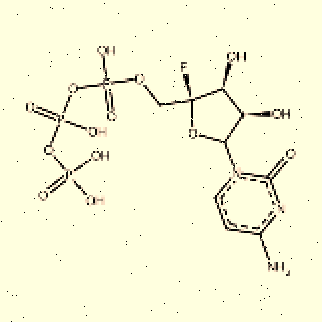 Nc1ccn(C2O[C@](F)(COP(=O)(O)OP(=O)(O)OP(=O)(O)O)[C@@H](O)[C@H]2O)c(=O)n1